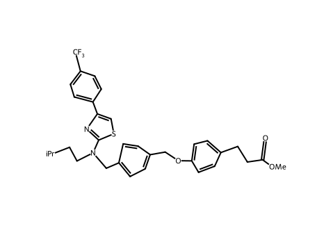 COC(=O)CCc1ccc(OCc2ccc(CN(CCC(C)C)c3nc(-c4ccc(C(F)(F)F)cc4)cs3)cc2)cc1